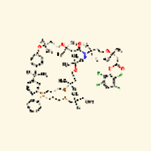 CCC(C)(COC)CSCCCS1(CCCSC(C)(CC)CCOC(C)(C)CC)C2=C(C=C=C=C2)c2ccc(C(C)(CC)c3ccc(OC(C)(C)CCOC(C)(C)CC(=O)NC(C)(C)CCOC(C)(C)CC(=O)Oc4c(F)c(F)cc(F)c4F)cc3)cc21